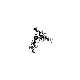 BC(B)(B)NC(=O)c1nnc(NC(=O)C2CC2)cc1Nc1cccc(-c2cc(C(=O)NCCN(C)C)n(C)n2)c1OC